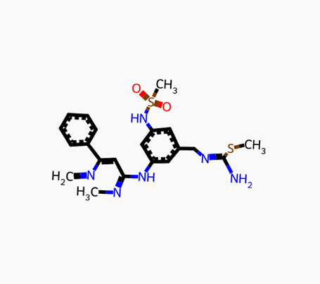 C=N/C(=C\C(=N/C)Nc1cc(C/N=C(/N)SC)cc(NS(C)(=O)=O)c1)c1ccccc1